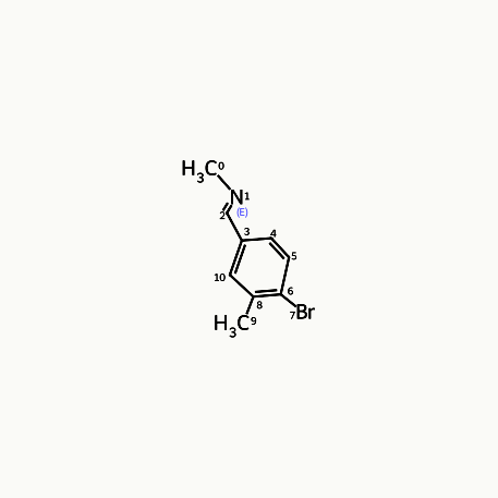 C/N=C/c1ccc(Br)c(C)c1